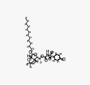 CCCCCCCCCCCCO[C@H]1O[C@H]([C@@H](C)OC(=O)NS(=O)(=O)c2ccc(Cl)cc2)[C@@H]2OC(C)(C)O[C@H]12